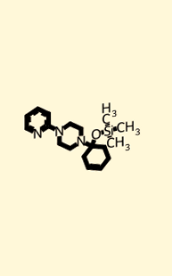 C[Si](C)(C)OC1(N2CCN(c3ccccn3)CC2)CC=CCC1